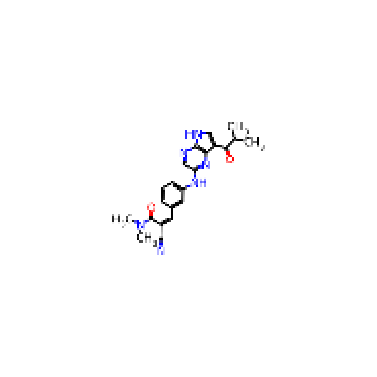 CC(C)C(=O)c1c[nH]c2ncc(Nc3cccc(C=C(C#N)C(=O)N(C)C)c3)nc12